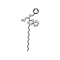 CCCCCCCCCCCCOC(OP1(=O)OCCO1)C(CO)OCc1ccccc1